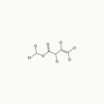 CCC(Cl)OC(=O)C(Cl)C(Cl)=C(Cl)Cl